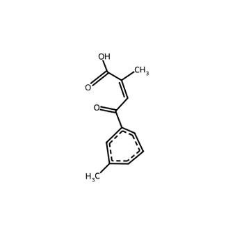 CC(=CC(=O)c1cccc(C)c1)C(=O)O